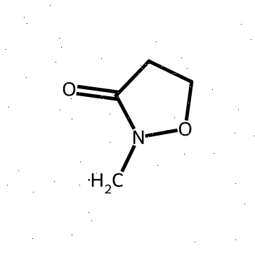 [CH2]N1OCCC1=O